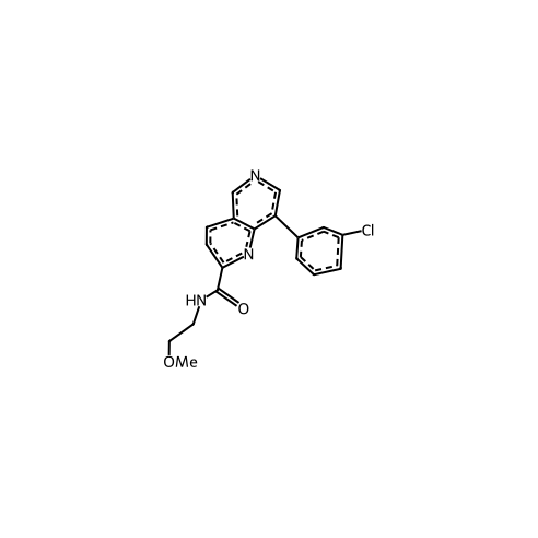 COCCNC(=O)c1ccc2cncc(-c3cccc(Cl)c3)c2n1